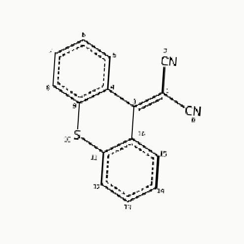 N#CC(C#N)=C1c2ccccc2Sc2ccccc21